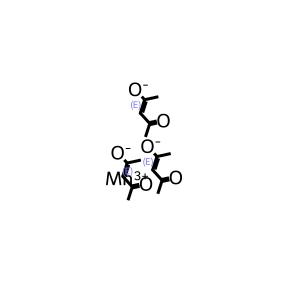 CC(=O)/C=C(\C)[O-].CC(=O)/C=C(\C)[O-].CC(=O)/C=C(\C)[O-].[Mn+3]